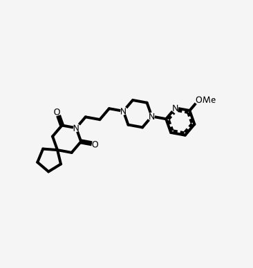 COc1cccc(N2CCN(CCCN3C(=O)CC4(CCCC4)CC3=O)CC2)n1